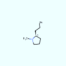 CN1CCC[C@@H]1CCC(C)(C)C